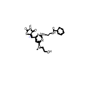 CN(CCO)c1cc(/C=C2/SC(=O)NC2=O)nc(NCCNC(=O)c2ccccc2)n1